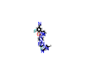 Cc1cn(-c2nc(N3CCN(C(=O)N4N=CCC4c4cc(F)cc(C#N)c4)CC3)ncc2F)c(C#N)n1